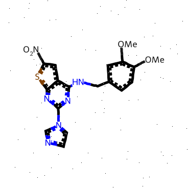 COc1ccc(CNc2nc(-n3ccnc3)nc3sc([N+](=O)[O-])cc23)cc1OC